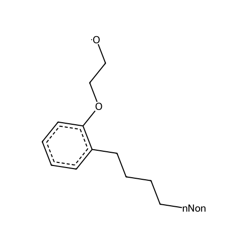 CCCCCCCCCCCCCc1ccccc1OCC[O]